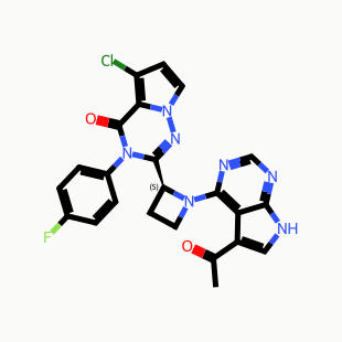 CC(=O)c1c[nH]c2ncnc(N3CC[C@H]3c3nn4ccc(Cl)c4c(=O)n3-c3ccc(F)cc3)c12